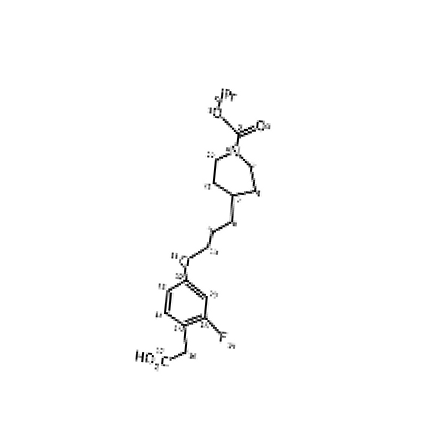 CC(C)OC(=O)N1CCC(CCCOc2ccc(CC(=O)O)c(F)c2)CC1